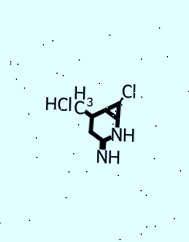 CC1CC(=N)NC2C1[C@@H]2Cl.Cl